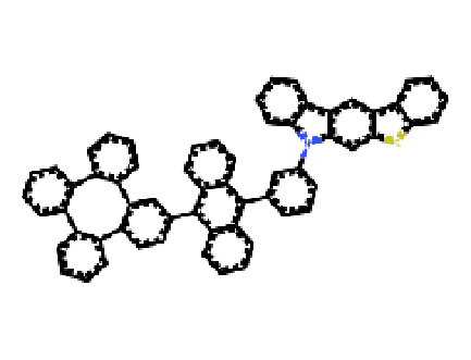 c1cc(-c2c3ccccc3c(-c3ccc4c(c3)-c3ccccc3-c3ccccc3-c3ccccc3-4)c3ccccc23)cc(-n2c3ccccc3c3cc4c(cc32)sc2ccccc24)c1